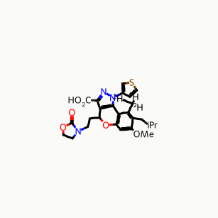 [2H]C([2H])([2H])c1c(CC(C)C)c(OC)cc2c1-c1c(c(C(=O)O)nn1-c1ccsc1)C(CCN1CCOC1=O)O2